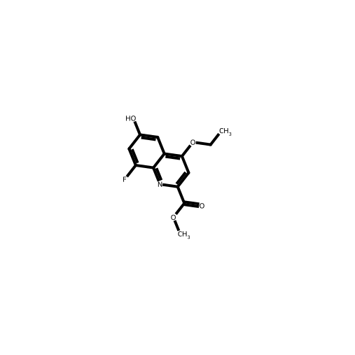 CCOc1cc(C(=O)OC)nc2c(F)cc(O)cc12